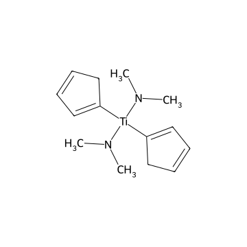 C[N](C)[Ti]([C]1=CC=CC1)([C]1=CC=CC1)[N](C)C